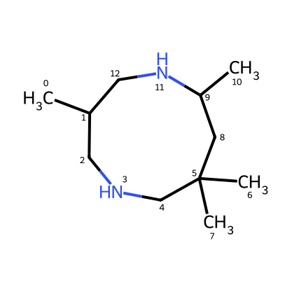 CC1CNCC(C)(C)CC(C)NC1